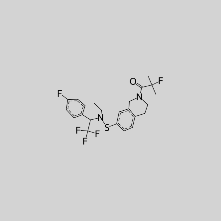 CCN(Sc1ccc2c(c1)CN(C(=O)C(C)(C)F)CC2)C(c1ccc(F)cc1)C(F)(F)F